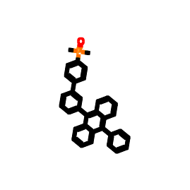 CP(C)(=O)c1ccc(-c2cccc(-c3c4ccccc4c(-c4ccccc4)c4ccccc34)c2)cc1